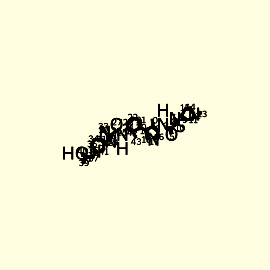 Cc1c(NC(=O)c2nc3c(s2)CN(C)CC3)cncc1-c1cccc(NC(=O)c2nc3c(n2C)CCN(CC(C)O)C3)c1C